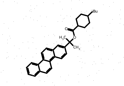 CCC(C)C1CCC(C(=O)OC(C)(C)c2ccc3c(ccc4c5ccccc5ccc34)c2)CC1